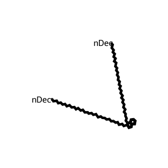 CCCCCCCCCCCCCCCCCCCCCCCCCCCCCCCCCCCCCCCCCCCCc1ccc2ccccc2c1CCCCCCCCCCCCCCCCCCCCCCCCCCCCCCCCCCCCCCCCCCCC